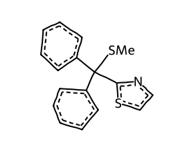 CSC(c1ccccc1)(c1ccccc1)c1nccs1